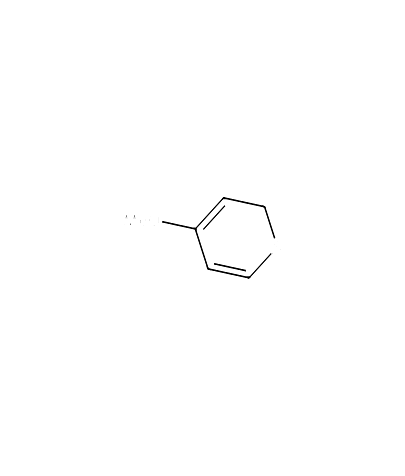 COC1=CCSC=C1